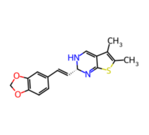 Cc1sc2c(c1C)=CN[C@@H](/C=C/c1ccc3c(c1)OCO3)N=2